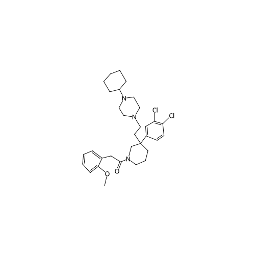 COc1ccccc1CC(=O)N1CCCC(CCN2CCN(C3CCCCC3)CC2)(c2ccc(Cl)c(Cl)c2)C1